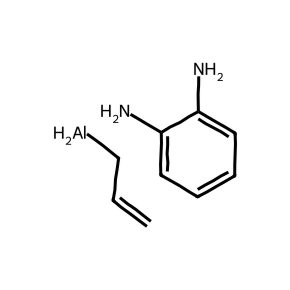 C=C[CH2][AlH2].Nc1ccccc1N